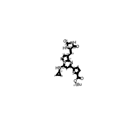 CC(C)(C)OC(=O)c1ccc(-c2cc(NC3CC3)n3ncc(/C=C4\NC(=O)NC4=O)c3n2)s1